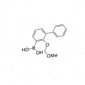 COCOc1c(B(O)O)cccc1-c1ccccc1